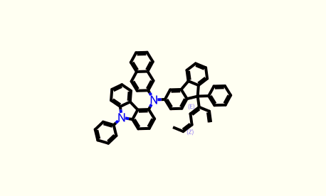 C=C/C(=C\C=C/C)C1(c2ccccc2)c2ccccc2-c2cc(N(c3ccc4ccccc4c3)c3cccc4c3c3ccccc3n4-c3ccccc3)ccc21